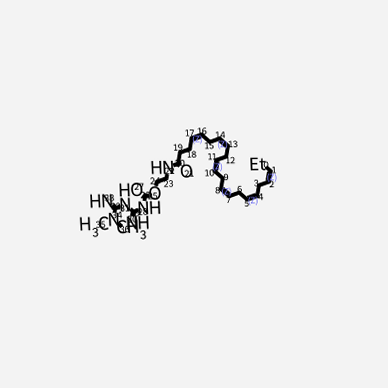 CC/C=C\C/C=C\C/C=C\C/C=C\C/C=C\C/C=C\CCC(=O)NCCOC(=O)NC(=N)NC(=N)N(C)C